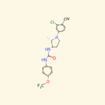 C[C@H]1[C@@H](NC(=O)Nc2ccc(OC(F)(F)F)cc2)CCN1c1ccc(C#N)c(Cl)c1